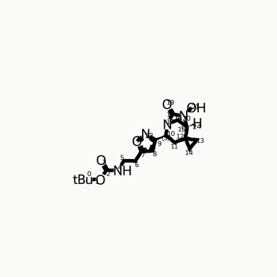 CC(C)(C)OC(=O)NCCc1cc([C@@H]2CC3(CC3)[C@H]3CN2C(=O)N3O)no1